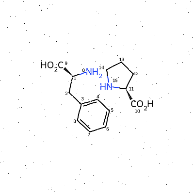 N[C@@H](Cc1ccccc1)C(=O)O.O=C(O)[C@@H]1CCCN1